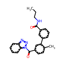 CCCNC(=O)c1cccc(-c2cc(C(=O)n3nnc4ccccc43)ccc2C)c1